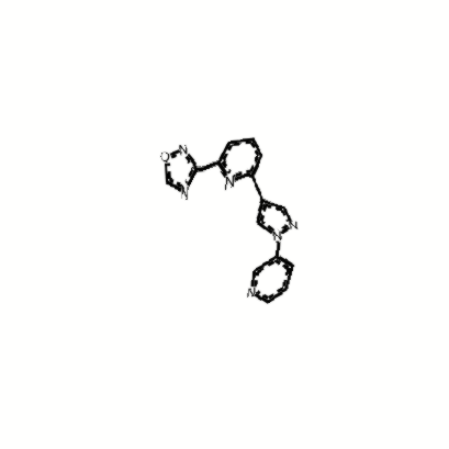 c1cncc(-n2cc(-c3cccc(-c4ncon4)n3)cn2)c1